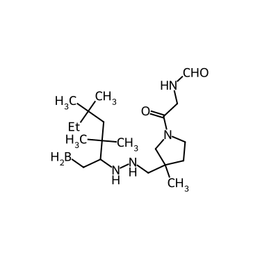 BCC(NNCC1(C)CCN(C(=O)CNC=O)C1)C(C)(C)CC(C)(C)CC